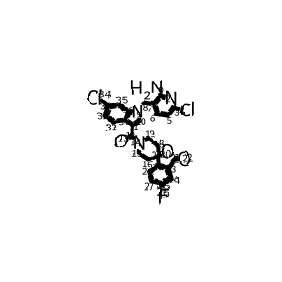 Nc1nc(Cl)ccc1Cn1cc(C(=O)N2CCC3(CC2)OC(=O)c2cc(F)ccc23)c2ccc(Cl)cc21